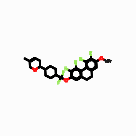 CCCOc1cc2c(c(F)c1F)-c1c(cc(OC(F)(F)C3CCC(C4CC=C(C)CO4)CC3)c(F)c1F)CC2